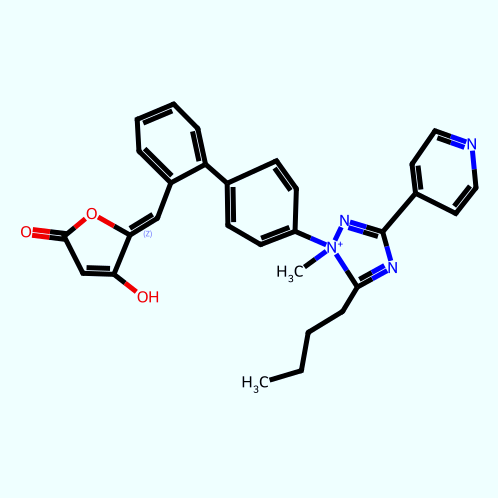 CCCCC1=NC(c2ccncc2)=N[N+]1(C)c1ccc(-c2ccccc2/C=C2\OC(=O)C=C2O)cc1